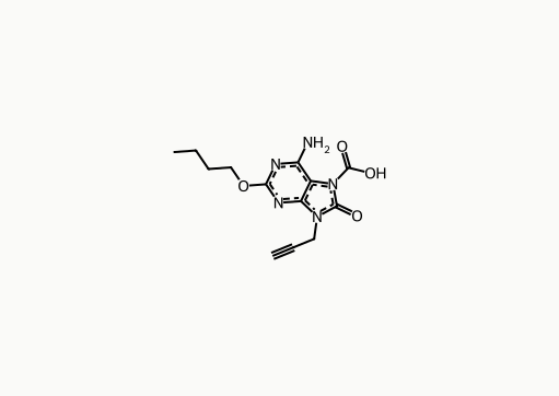 C#CCn1c(=O)n(C(=O)O)c2c(N)nc(OCCCC)nc21